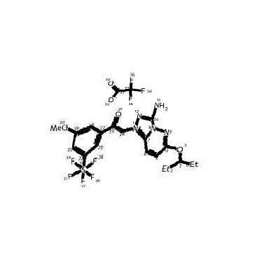 CCC(CC)Oc1ccc2n(n1)c(N)n[n+]2CC(=O)c1cc(OC)cc(S(F)(F)(F)(F)F)c1.O=C([O-])C(F)(F)F